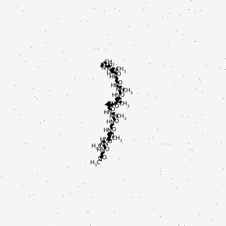 CCOC(=O)CCNC(=O)c1nc(NC(=O)c2cc(NC(=O)CCNC(=O)c3nc(NC(=O)CC4(CNC(=O)c5cc(NC(=O)c6nc(NC(=O)CCNC(=O)c7cc(NC(=O)c8nccn8C)cn7C)cn6C)cn5C)CC4)cn3C)cn2C)cn1C